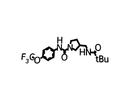 CC(C)(C)C(=O)NCC1CCN(C(=O)Nc2ccc(OC(F)(F)F)cc2)C1